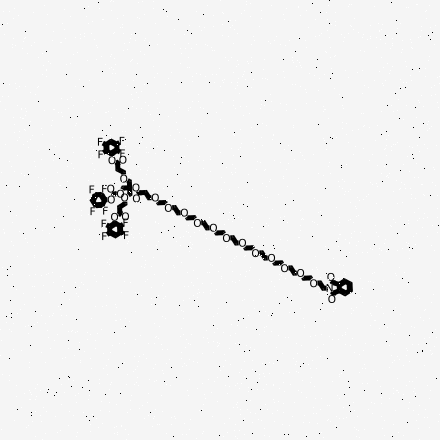 O=C(CCOCC(COCCC(=O)Oc1c(F)c(F)cc(F)c1F)(COC(=O)Oc1c(F)c(F)cc(F)c1F)OC(=O)CCOCCOCCOCCOCCOCCOCCOCCOCCOCCOCCOCCOCCN1C(=O)c2ccccc2C1=O)Oc1c(F)c(F)cc(F)c1F